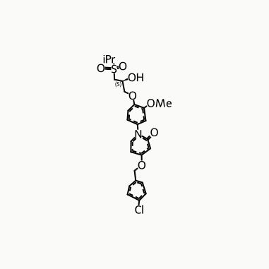 COc1cc(-n2ccc(OCc3ccc(Cl)cc3)cc2=O)ccc1OC[C@H](O)CS(=O)(=O)C(C)C